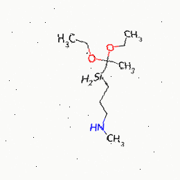 CCOC(C)(OCC)[SiH2]CCCNC